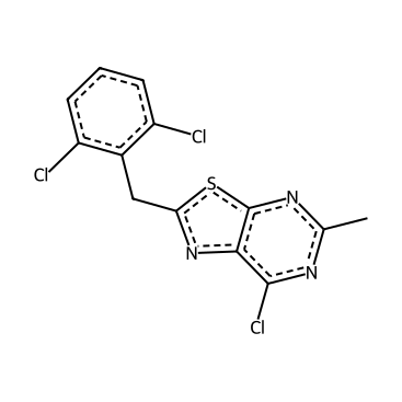 Cc1nc(Cl)c2nc(Cc3c(Cl)cccc3Cl)sc2n1